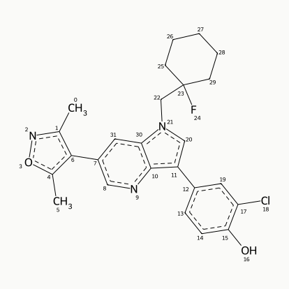 Cc1noc(C)c1-c1cnc2c(-c3ccc(O)c(Cl)c3)cn(CC3(F)CCCCC3)c2c1